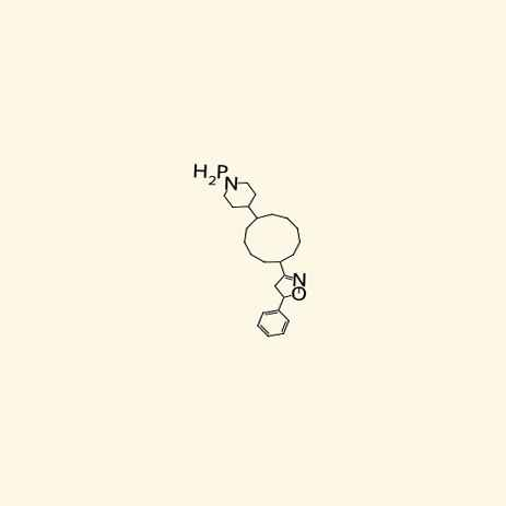 PN1CCC(C2CCCCCC(C3=NOC(c4ccccc4)C3)CCCC2)CC1